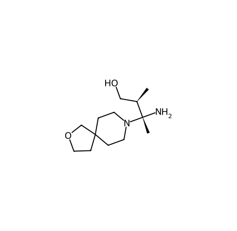 C[C@H](CO)[C@](C)(N)N1CCC2(CCOC2)CC1